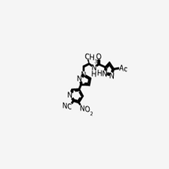 CC(=O)c1cc(C(=O)N[C@H](C)Cn2ccc(-c3cnc(C#N)c([N+](=O)[O-])c3)n2)[nH]n1